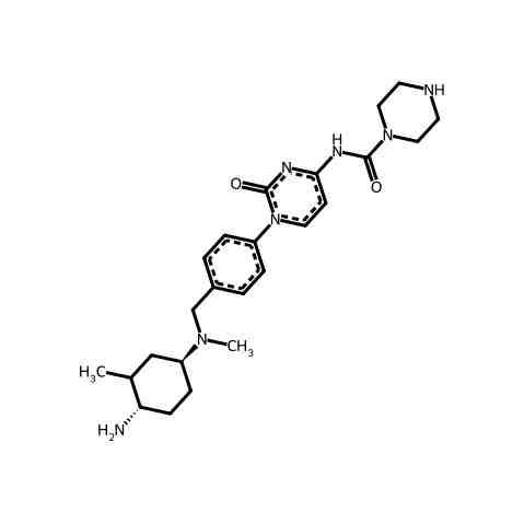 CC1C[C@@H](N(C)Cc2ccc(-n3ccc(NC(=O)N4CCNCC4)nc3=O)cc2)CC[C@@H]1N